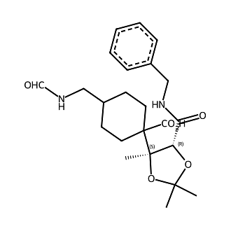 CC1(C)O[C@@H](C(=O)NCc2ccccc2)[C@](C)(C2(C(=O)O)CCC(CNC=O)CC2)O1